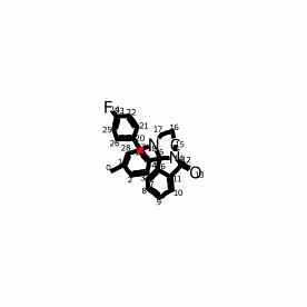 Cc1ccc(C23c4ccccc4C(=O)N2CCCN3Cc2ccc(F)cc2)cc1